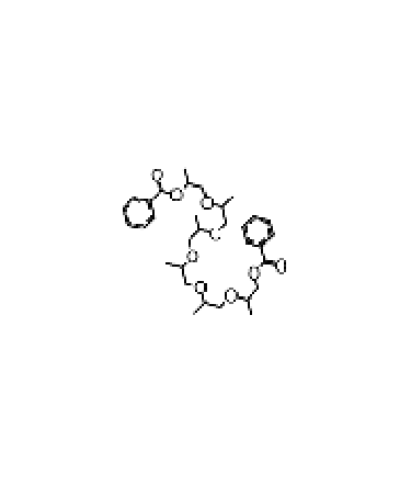 CC(COC(=O)c1ccccc1)OCC(C)OCC(C)OCC(C)OCC(C)OCC(C)OC(=O)c1ccccc1